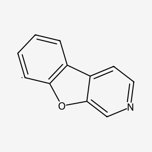 [c]1cccc2c1oc1cnccc12